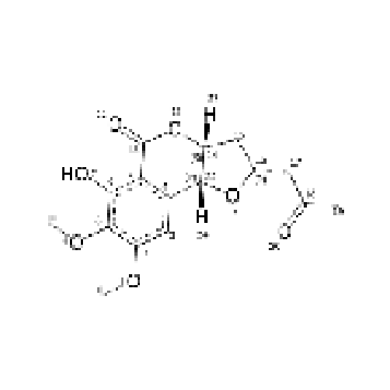 COc1cc2c(c(O)c1OC)C(=O)O[C@@H]1C[C@H](CC(C)=O)O[C@H]21